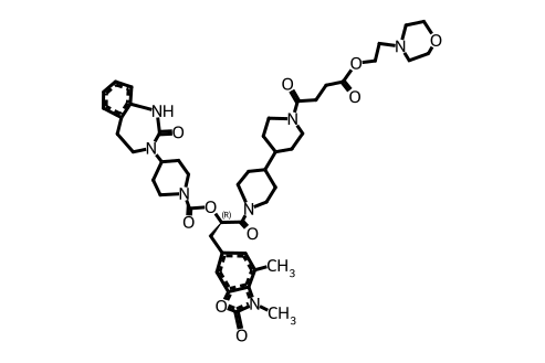 Cc1cc(C[C@@H](OC(=O)N2CCC(N3CCc4ccccc4NC3=O)CC2)C(=O)N2CCC(C3CCN(C(=O)CCC(=O)OCCN4CCOCC4)CC3)CC2)cc2oc(=O)n(C)c12